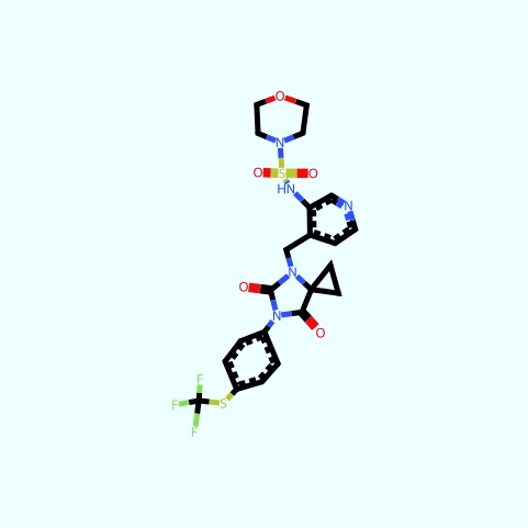 O=C1N(c2ccc(SC(F)(F)F)cc2)C(=O)C2(CC2)N1Cc1ccncc1NS(=O)(=O)N1CCOCC1